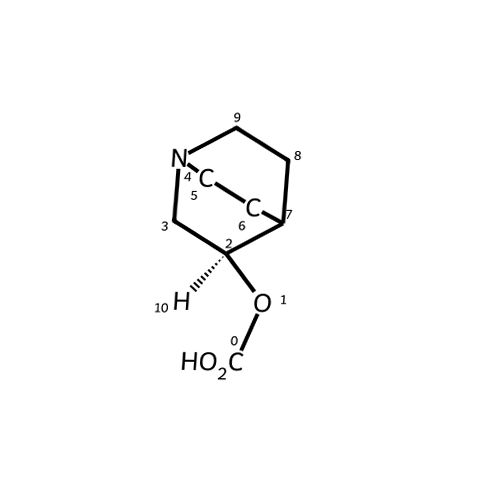 O=C(O)O[C@H]1CN2CCC1CC2